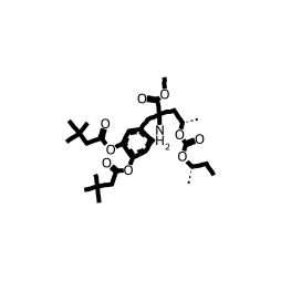 CC[C@H](C)OC(=O)O[C@@H](C)CC(N)(Cc1ccc(OC(=O)CC(C)(C)C)c(OC(=O)CC(C)(C)C)c1)C(=O)OC